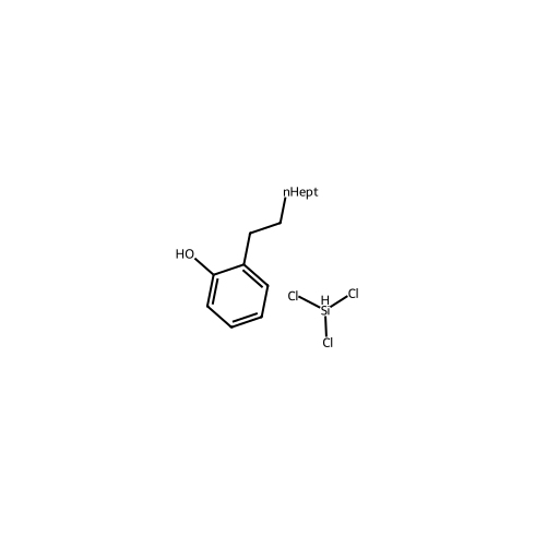 CCCCCCCCCc1ccccc1O.Cl[SiH](Cl)Cl